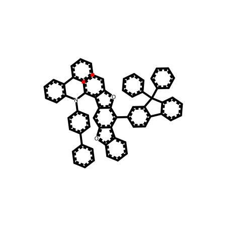 c1ccc(-c2ccc(N(c3ccccc3-c3ccccc3)c3cccc4oc5c(-c6ccc7c(c6)C(c6ccccc6)(c6ccccc6)c6ccccc6-7)c6c(cc5c34)oc3ccccc36)cc2)cc1